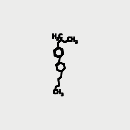 CCCCCC1CC=C(c2ccc(CC(C)CC)cc2)CC1